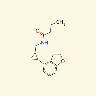 CCCC(=O)NCC1CC1c1cccc2c1CCO2